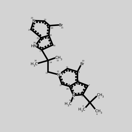 Cn1c(C(C)(C)C)cc2c(Br)c[n+](CC(C)(C)c3cc4c(Br)cncc4[nH]3)cc21